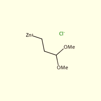 COC(C[CH2][Zn+])OC.[Cl-]